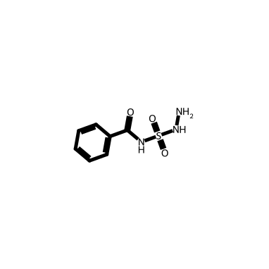 NNS(=O)(=O)NC(=O)c1ccccc1